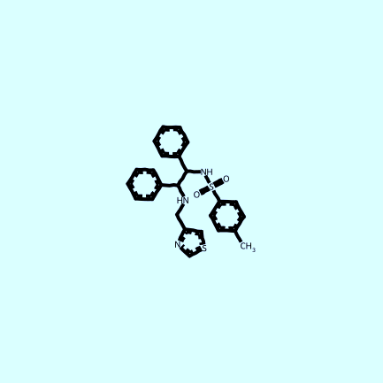 Cc1ccc(S(=O)(=O)NC(c2ccccc2)C(NCc2cscn2)c2ccccc2)cc1